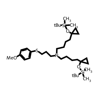 COc1ccc(SCCCN(CCCCC2(O[Si](C)(C)C(C)(C)C)CC2)CCCCC2(O[Si](C)(C)C(C)(C)C)CC2)cc1